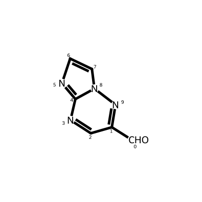 O=Cc1cnc2nccn2n1